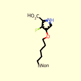 CCCCCCCCCCCCCCOc1c[nH]c(C(=O)O)c1F